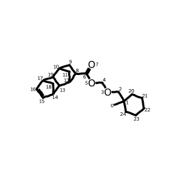 CC1(COCOC(=O)C2CC3CC2C2C4C=CC(C4)C32)CCCCC1